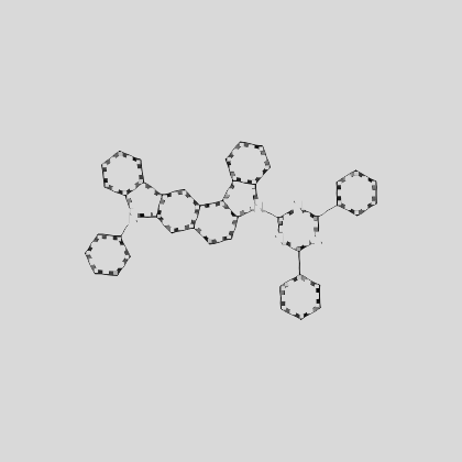 c1ccc(-c2nc(-c3ccccc3)nc(-n3c4ccccc4c4c5cc6c7ccccc7n(-c7ccccc7)c6cc5ccc43)n2)cc1